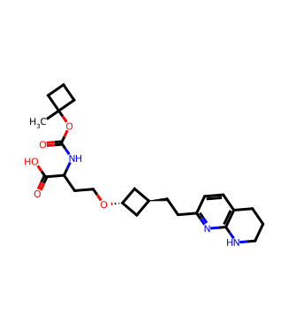 CC1(OC(=O)NC(CCO[C@H]2C[C@H](CCc3ccc4c(n3)NCCC4)C2)C(=O)O)CCC1